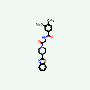 COc1ccc(C(=O)NCC(=O)N2CCC(c3nc4ccccc4s3)CC2)cc1OC